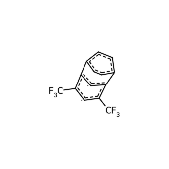 FC(F)(F)c1[c]c(C(F)(F)F)c2[c]c1-c1ccc-2cc1